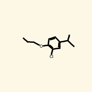 CCCOc1ccc(C(C)C)cc1Cl